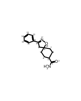 NC(=O)C1CCC2(CC1)CC(c1ccccc1)=NO2